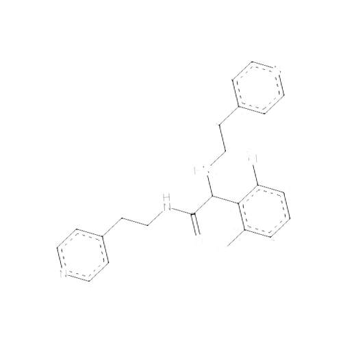 O=C(NCCc1ccncc1)C(NCCc1ccncc1)c1c(Cl)cccc1Cl